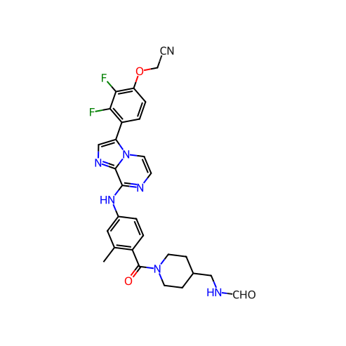 Cc1cc(Nc2nccn3c(-c4ccc(OCC#N)c(F)c4F)cnc23)ccc1C(=O)N1CCC(CNC=O)CC1